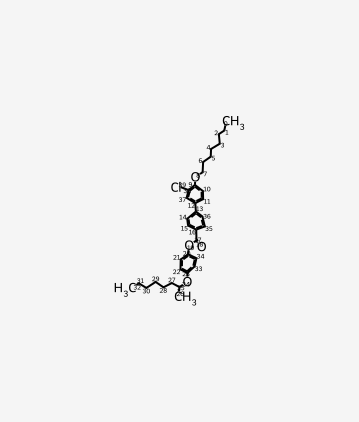 CCCCCCCCOc1ccc(-c2ccc(C(=O)Oc3ccc(OC(C)CCCCCC)cc3)cc2)cc1Cl